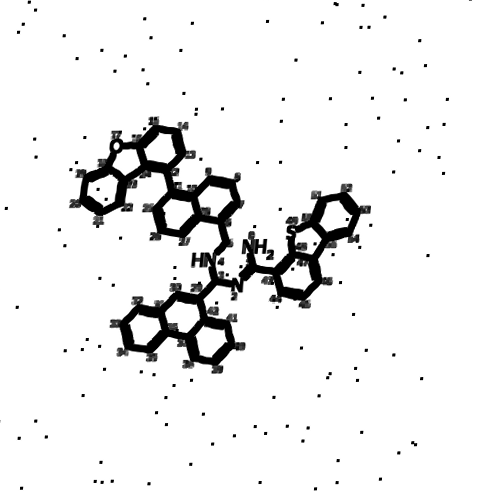 N/C(=N\C(NCc1cccc2c(-c3cccc4oc5ccccc5c34)cccc12)c1cc2ccccc2c2ccccc12)c1cccc2c1sc1ccccc12